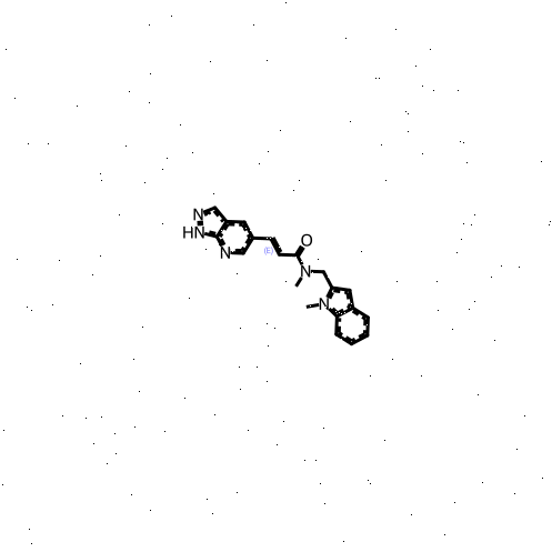 CN(Cc1cc2ccccc2n1C)C(=O)/C=C/c1cnc2[nH]ncc2c1